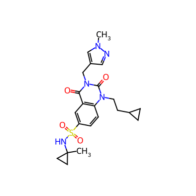 Cn1cc(Cn2c(=O)c3cc(S(=O)(=O)NC4(C)CC4)ccc3n(CCC3CC3)c2=O)cn1